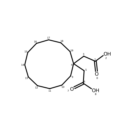 O=C(O)CC1(CC(=O)O)CCCCCCCCCCC1